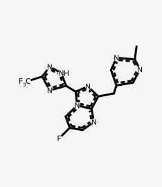 Cc1ncc(Cc2nc(-c3nc(C(F)(F)F)n[nH]3)n3cc(F)cnc23)cn1